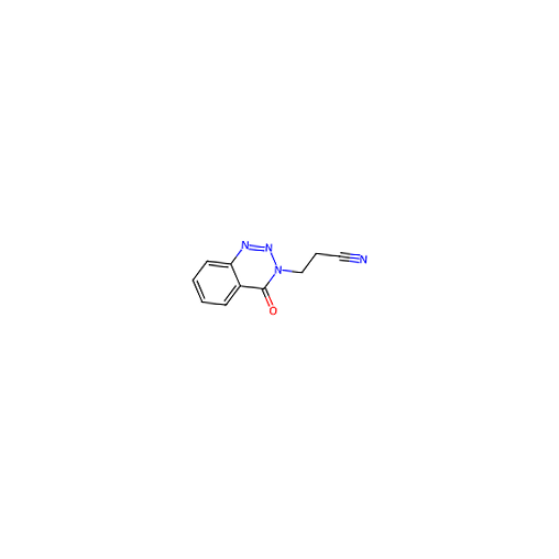 N#CCCn1nnc2ccccc2c1=O